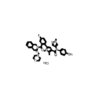 Cc1c(C(=O)N(c2ccc(O)cc2)c2cnn(C)c2)cc(-c2ccc(F)cc2C(=O)N2Cc3ccccc3C[C@H]2CN2CCOCC2)n1C.Cl